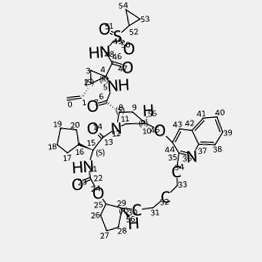 C=C[C@@H]1C[C@]1(NC(=O)[C@@H]1C[C@@H]2CN1C(=O)[C@H](C1CCCC1)NC(=O)OC1CCC[C@H]1CCCCCc1nc3ccccc3cc1O2)C(=O)NS(=O)(=O)C1CC1